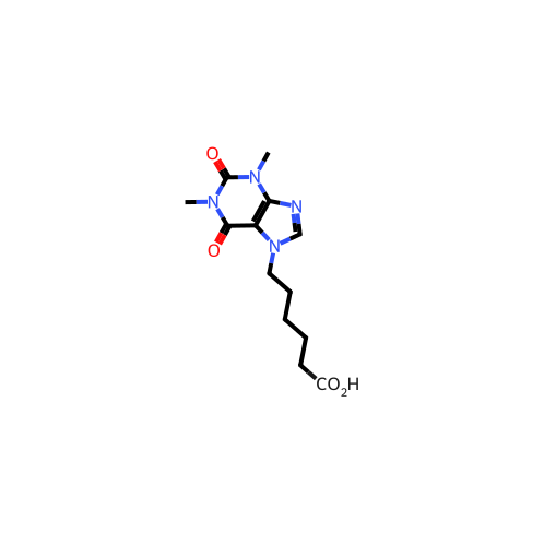 Cn1c(=O)c2c(ncn2CCCCCC(=O)O)n(C)c1=O